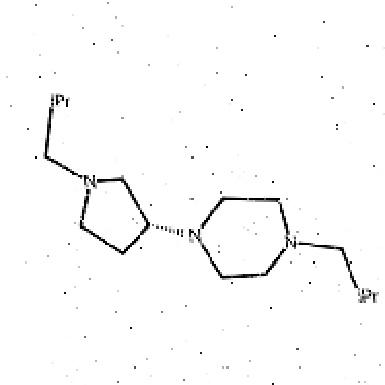 CC(C)CN1CCN([C@@H]2CCN(CC(C)C)C2)CC1